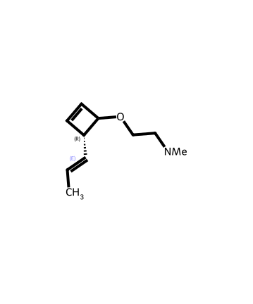 C/C=C/[C@@H]1C=CC1OCCNC